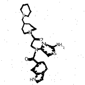 Nc1nc(N(CC(=O)N2CCC(CN3CCCCC3)CC2)C(=O)c2ccc3cc[nH]c3c2)cs1